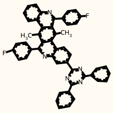 Cc1c2c(-c3ccc(F)cc3)nc3cc(-c4nc(-c5ccccc5)nc(-c5ccccc5)n4)ccc3c2c(C)c2c(-c3ccc(F)cc3)nc3ccccc3c12